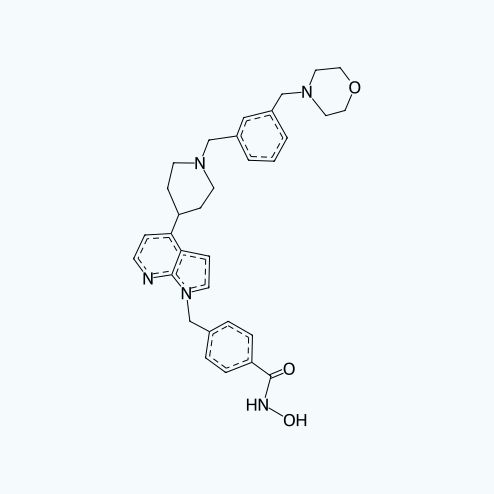 O=C(NO)c1ccc(Cn2ccc3c(C4CCN(Cc5cccc(CN6CCOCC6)c5)CC4)ccnc32)cc1